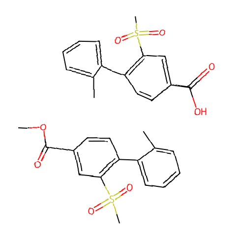 COC(=O)c1ccc(-c2ccccc2C)c(S(C)(=O)=O)c1.Cc1ccccc1-c1ccc(C(=O)O)cc1S(C)(=O)=O